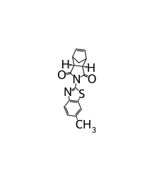 Cc1ccc2nc(N3C(=O)[C@@H]4C5C=CC(C5)[C@@H]4C3=O)sc2c1